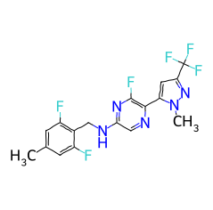 Cc1cc(F)c(CNc2cnc(-c3cc(C(F)(F)F)nn3C)c(F)n2)c(F)c1